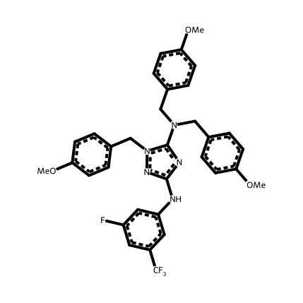 COc1ccc(CN(Cc2ccc(OC)cc2)c2nc(Nc3cc(F)cc(C(F)(F)F)c3)nn2Cc2ccc(OC)cc2)cc1